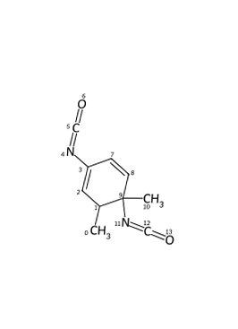 CC1C=C(N=C=O)C=CC1(C)N=C=O